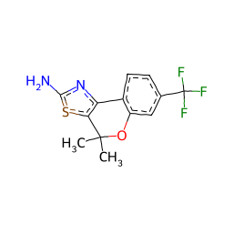 CC1(C)Oc2cc(C(F)(F)F)ccc2-c2nc(N)sc21